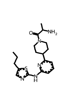 CCCc1cnc(Nc2cccc(C3CCN(C(=O)C(C)N)CC3)n2)s1